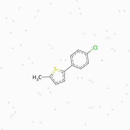 Cc1ccc(-c2ccc(Cl)cc2)s1